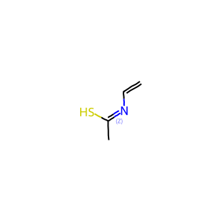 C=C/N=C(/C)S